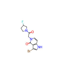 O=C(Cn1ccc2[nH]cc(Br)c2c1=O)N1CCC(F)C1